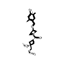 Cc1cc(COC2CN(C(=O)[C@H]3C[C@](N)(COC=O)C3)C2)c(F)cc1C(F)(F)F